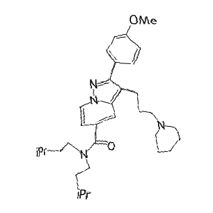 COc1ccc(-c2nn3ccc(C(=O)N(CCC(C)C)CCC(C)C)cc3c2CCCN2CCCCC2)cc1